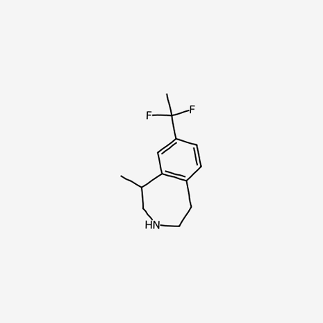 CC1CNCCc2ccc(C(C)(F)F)cc21